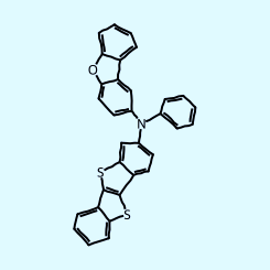 c1ccc(N(c2ccc3c(c2)sc2c4ccccc4sc32)c2ccc3oc4ccccc4c3c2)cc1